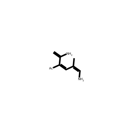 C=C(N)/C(=C\C(C)=C/N)C(C)=O